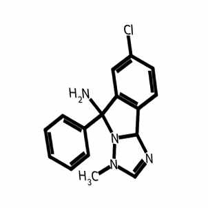 CN1C=NC2c3ccc(Cl)cc3C(N)(c3ccccc3)N21